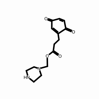 O=C1C=CC(=O)C(CCC(=O)OCN2CCNCC2)=C1